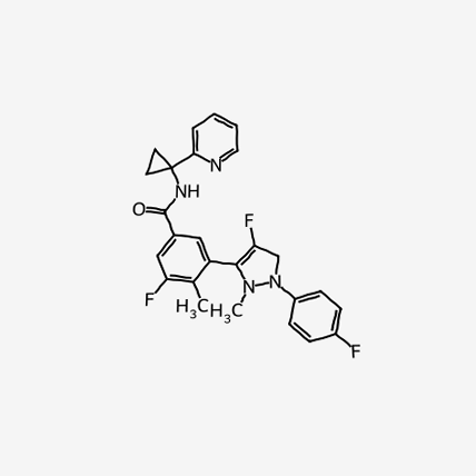 Cc1c(F)cc(C(=O)NC2(c3ccccn3)CC2)cc1C1=C(F)CN(c2ccc(F)cc2)N1C